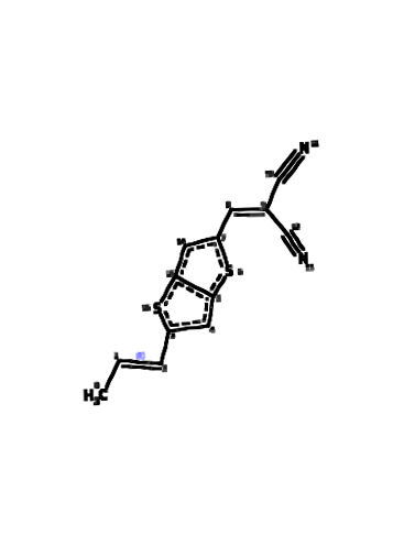 C/C=C/c1cc2sc(C=C(C#N)C#N)cc2s1